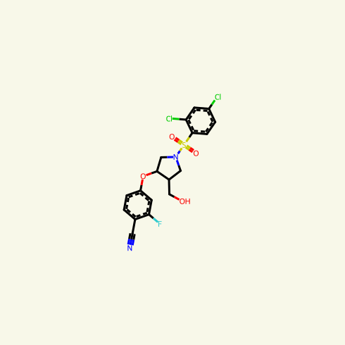 N#Cc1ccc(OC2CN(S(=O)(=O)c3ccc(Cl)cc3Cl)CC2CO)cc1F